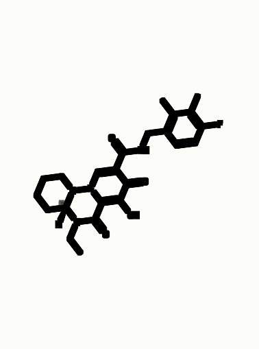 CCN1C(=O)c2c(O)c(=O)c(C(=O)NCc3ccc(F)c(C)c3C)cn2N2CCCC[C@@H]12